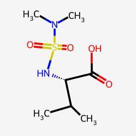 CC(C)[C@H](NS(=O)(=O)N(C)C)C(=O)O